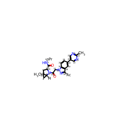 CCCNC(=O)[C@@H]1C[C@@]2(C)C[C@H]2N1C(=O)Cn1nc(C(C)=O)c2cc(-c3cnc(C)nc3)ccc21